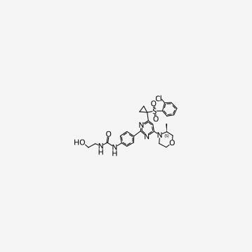 C[C@H]1COCCN1c1cc(C2(S(=O)(=O)c3ccccc3Cl)CC2)nc(-c2ccc(NC(=O)NCCO)cc2)n1